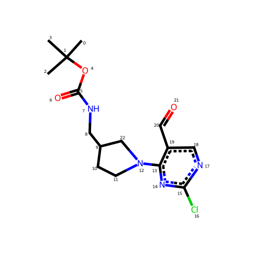 CC(C)(C)OC(=O)NCC1CCN(c2nc(Cl)ncc2C=O)C1